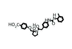 Cc1ccccc1NC(=O)Nc1ccc(CC(=O)N2CCC[C@]2(O)COc2ccc(C(=O)O)cc2)cc1